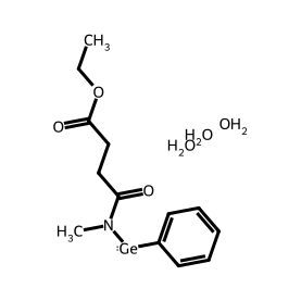 CCOC(=O)CCC(=O)[N](C)[Ge][c]1ccccc1.O.O.O